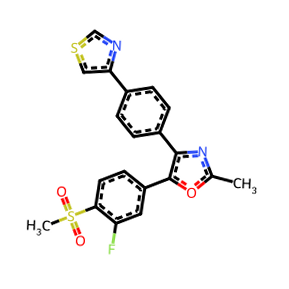 Cc1nc(-c2ccc(-c3cscn3)cc2)c(-c2ccc(S(C)(=O)=O)c(F)c2)o1